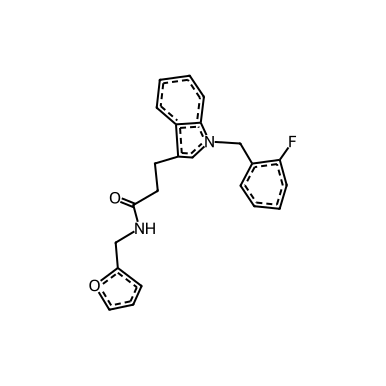 O=C(CCc1cn(Cc2ccccc2F)c2ccccc12)NCc1ccco1